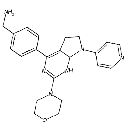 NCc1ccc(C2=C3CCN(c4ccncc4)C3NC(N3CCOCC3)=N2)cc1